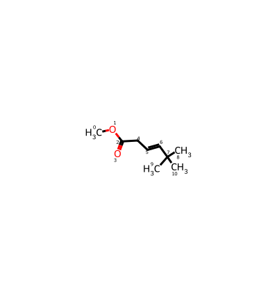 COC(=O)CC=CC(C)(C)C